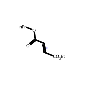 CCCOC(=O)/C=C/C(=O)OCC